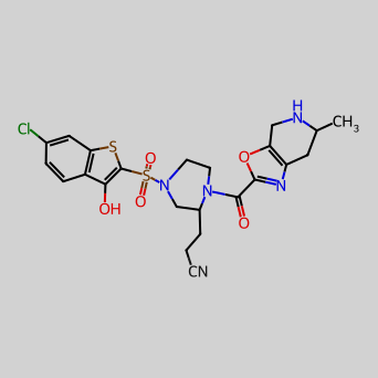 CC1Cc2nc(C(=O)N3CCN(S(=O)(=O)c4sc5cc(Cl)ccc5c4O)CC3CCC#N)oc2CN1